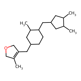 CC1=C(CC2CCC(CC3CC(C)C(C)C3)C(C)C2)COC1